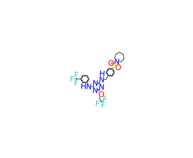 O=S(=O)(c1ccc(CNc2nc(Nc3cccc(C(F)(F)F)c3)nc(OCC(F)(F)F)n2)cc1)N1CCCCCC1